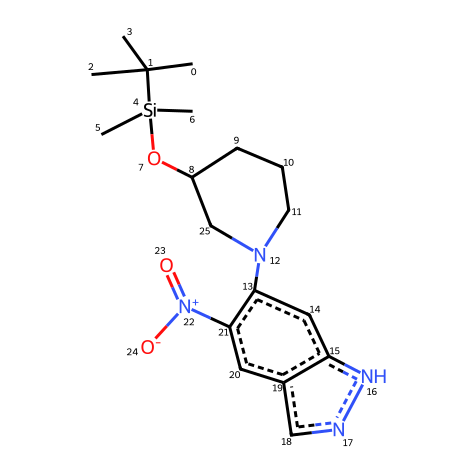 CC(C)(C)[Si](C)(C)OC1CCCN(c2cc3[nH]ncc3cc2[N+](=O)[O-])C1